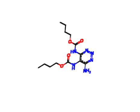 CCCCOC(=O)Nc1nnnc(N)c1NC(=O)OCCCC